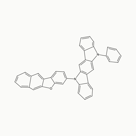 c1ccc(-n2c3ccccc3c3cc4c(cc32)c2ccccc2n4-c2ccc3c(c2)oc2cc4ccccc4cc23)cc1